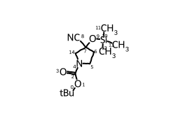 CC(C)(C)OC(=O)N1CCC(C#N)(O[Si](C)(C)C)C1